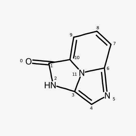 O=c1[nH]c2cnc3cccc1n32